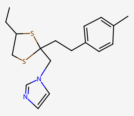 CCC1CSC(CCc2ccc(C)cc2)(Cn2ccnc2)S1